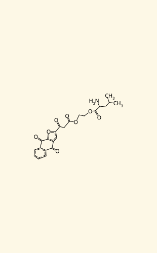 CC(C)CC(N)C(=O)OCCOC(=O)CC(=O)c1cc2c(o1)C(=O)c1ccccc1C2=O